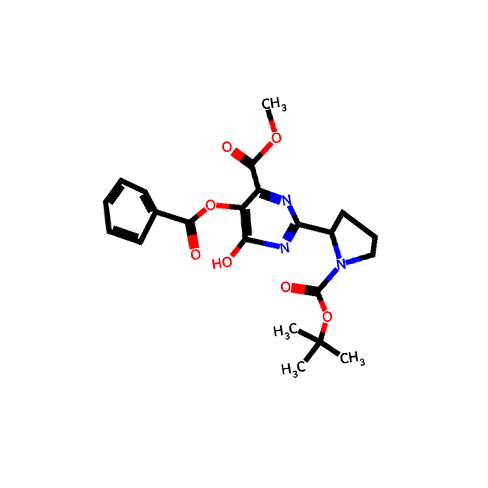 COC(=O)c1nc(C2CCCN2C(=O)OC(C)(C)C)nc(O)c1OC(=O)c1ccccc1